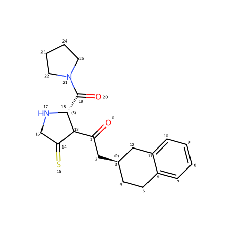 O=C(C[C@@H]1CCc2ccccc2C1)C1C(=S)CN[C@@H]1C(=O)N1CCCC1